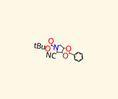 CC(C)(C)OC(=O)N1CC2OC(c3ccccc3)OC2C1C#N